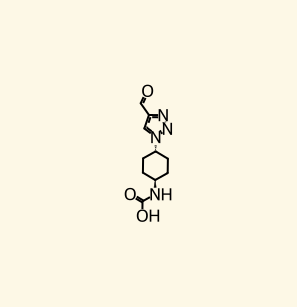 O=Cc1cn([C@H]2CC[C@H](NC(=O)O)CC2)nn1